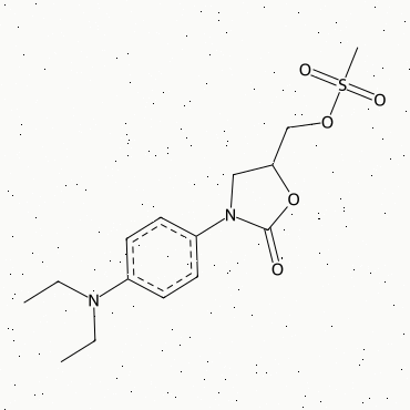 CCN(CC)c1ccc(N2CC(COS(C)(=O)=O)OC2=O)cc1